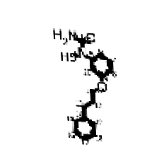 NC(=O)N(S)c1cccc(OCCCc2ccccc2)c1